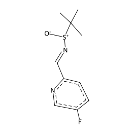 CC(C)(C)[S+]([O-])N=Cc1ccc(F)cn1